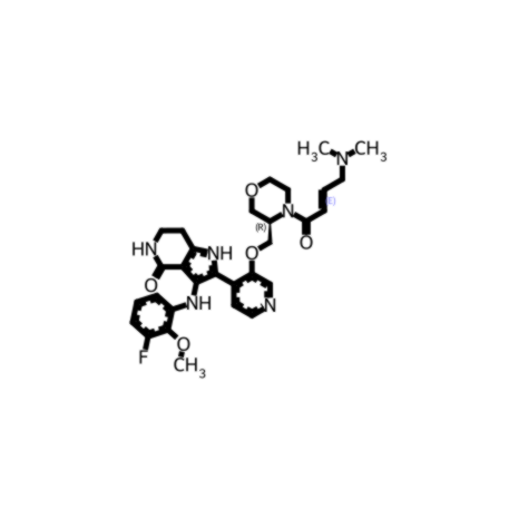 COc1c(F)cccc1Nc1c(-c2ccncc2OC[C@H]2COCCN2C(=O)/C=C/CN(C)C)[nH]c2c1C(=O)NCC2